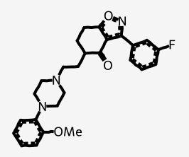 COc1ccccc1N1CCN(CCC2CCc3onc(-c4cccc(F)c4)c3C2=O)CC1